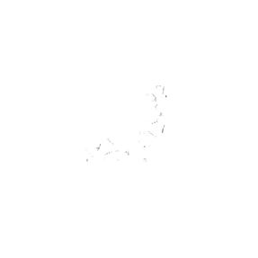 Fc1cc(OC2CCN(Cc3cccc(C(F)F)c3)CC2F)c(Cl)cc1SNc1cscn1